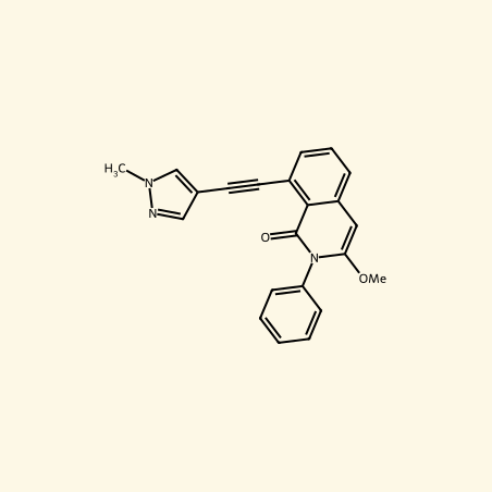 COc1cc2cccc(C#Cc3cnn(C)c3)c2c(=O)n1-c1ccccc1